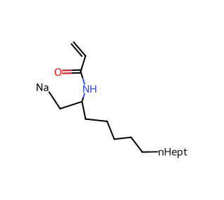 C=CC(=O)NC([CH2][Na])CCCCCCCCCCCC